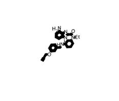 C#CCOc1cccc(CNC2CCCC(N(CC)C(=O)c3nc4c(N)cccc4[nH]3)C2)c1